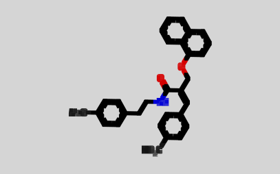 COc1ccc(CCNC(=O)C(=Cc2ccc(C(=O)O)cc2)COc2cccc3ccccc23)cc1